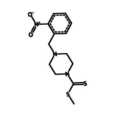 CSC(=S)N1CCN(Cc2ccccc2[N+](=O)[O-])CC1